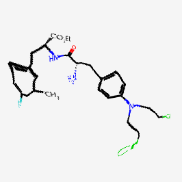 CCOC(=O)[C@H](CC1=CC=C(F)C(C)C1)NC(=O)[C@@H](N)Cc1ccc(N(CCCl)CCCl)cc1